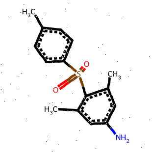 Cc1ccc(S(=O)(=O)c2c(C)cc(N)cc2C)cc1